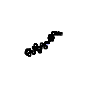 COc1ccc(/C=C/C(=O)O[C@@H]2COC3C2OC[C@@H]3OC2CCCCO2)cc1